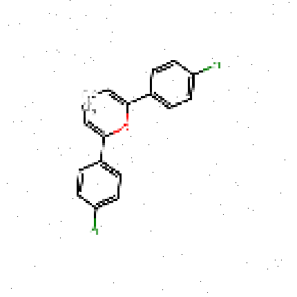 FC(F)(F)/C=C(\O/C(=C\C(F)(F)F)c1ccc(Cl)cc1)c1ccc(Cl)cc1